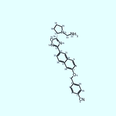 N#Cc1ccc(COc2ccc3cc(-c4noc([C@@H]5CCCN5CN)n4)ccc3c2)cc1